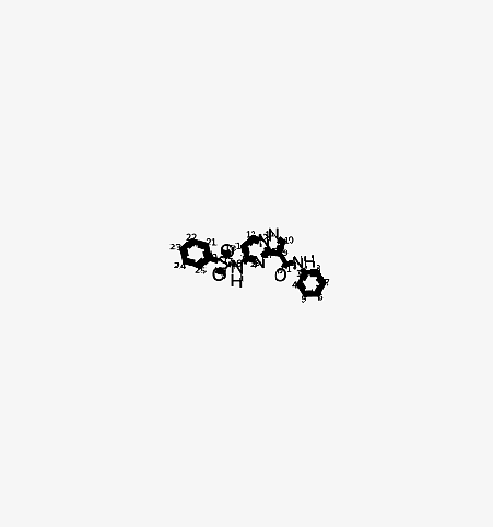 O=C(Nc1ccccc1)c1cnn2ccc(NS(=O)(=O)c3ccccc3)nc12